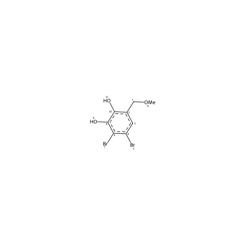 COCc1cc(Br)c(Br)c(O)c1O